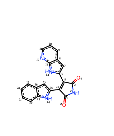 O=C1NC(=O)C(c2cc3cccnc3[nH]2)=C1c1cc2ccccc2[nH]1